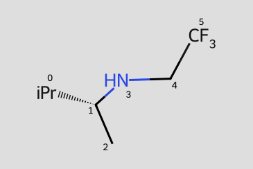 CC(C)[C@@H](C)NCC(F)(F)F